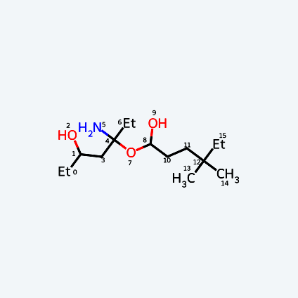 CCC(O)CC(N)(CC)OC(O)CCC(C)(C)CC